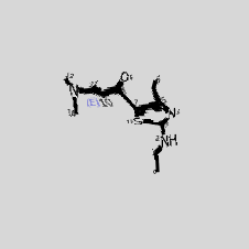 CCNc1nc(C)c(C(=O)/C=C/N(C)C)s1